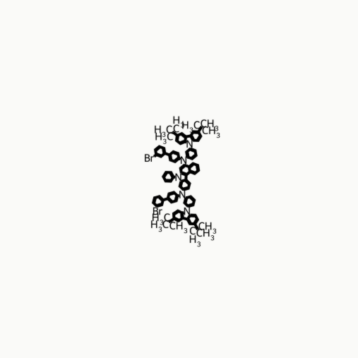 CC(C)(C)c1ccc2c(c1)c1cc(C(C)(C)C)ccc1n2-c1cccc(N(c2ccc(-c3cccc(Br)c3)cc2)c2ccc3c4c5ccccc5c(N(c5ccc(-c6cccc(Br)c6)cc5)c5cccc(-n6c7ccc(C(C)(C)C)cc7c7cc(C(C)(C)C)ccc76)c5)cc4n(-c4ccccc4)c3c2)c1